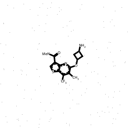 CNC(=O)c1csc2c(C(F)(F)F)c(C)c(OC3CC(N)C3)nc12